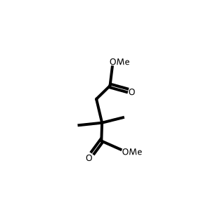 COC(=O)CC(C)(C)C(=O)OC